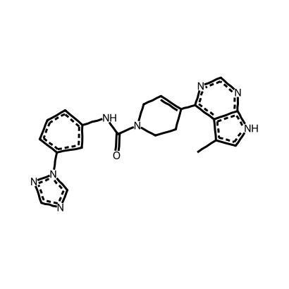 Cc1c[nH]c2ncnc(C3=CCN(C(=O)Nc4cccc(-n5cncn5)c4)CC3)c12